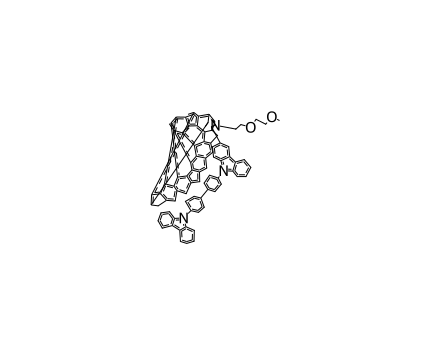 COCCOCCN1CC2C3=c4c5c6c7c(cc8cc9cc%10cc%11cc%12c%13c(c4c4c5c5c7c8c7c9c%10c8c%11c%13c4c8c75)=C(C3)C%12)CC62C1c1ccc2c(c1)c1ccccc1n2-c1ccc(-c2ccc(-n3c4ccccc4c4ccccc43)cc2)cc1